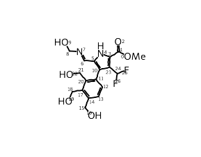 COC(=O)c1[nH]c(/C=N/CO)c(-c2ccc(CO)c(CO)c2CO)c1C(F)F